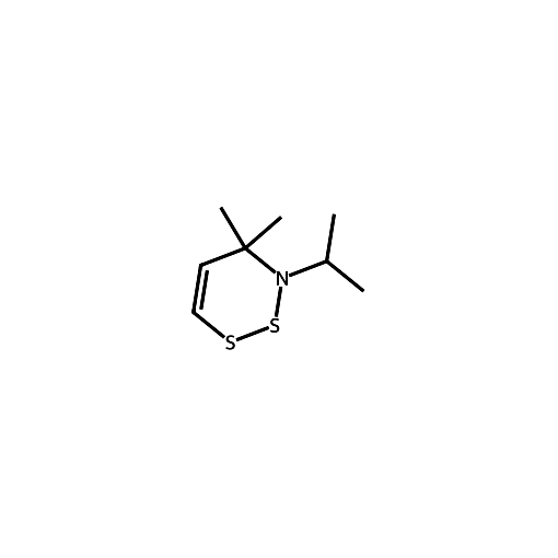 CC(C)N1SSC=CC1(C)C